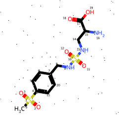 CS(=O)(=O)c1ccc(CNS(=O)(=O)NCC(N)C(=O)O)cc1